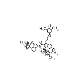 Cc1cc(OCCCc2c3n(c4c(-c5c(C)nn(C)c5C)c(Cl)ccc24)[C@H](C)CN(c2cn(C)c4c(-c5nnn(C)n5)cccc24)C3=O)cc(C)c1Cl